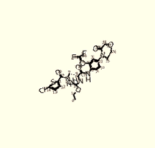 CCOC(=O)N[C@H](CNC(=O)c1ccc(Cl)s1)C(=O)Nc1ccc(N2CCOCC2=O)cc1OC(F)F